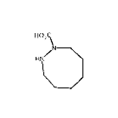 O=C(O)N1CCCCCCN1